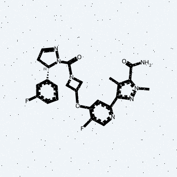 Cc1c(-c2cc(OC3CN(C(=O)N4N=CC[C@H]4c4cccc(F)c4)C3)c(F)cn2)nn(C)c1C(N)=O